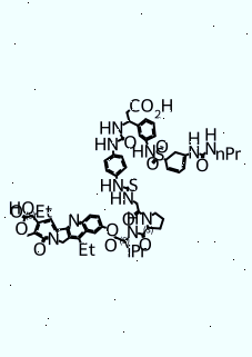 CCCNC(=O)NC1=CC=CC(S(=O)(=O)Nc2cccc(C(CC(=O)O)NC(=O)Nc3ccc(NC(=S)NCC(=O)N4CCC[C@H]4C(=O)N[C@H](C(=O)Oc4ccc5nc6c(c(CC)c5c4)Cn4c-6cc5c(c4=O)COC(=O)[C@]5(O)CC)C(C)C)cc3)c2)C1